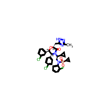 Cc1n[nH]c(C[C@H]2O[C@H](c3cccc(Cl)c3)[C@@H](c3ccc(Cl)cc3)N([C@H](CN(c3ccccc3F)S(=O)(=O)C3CC3)C3CC3)C2=O)n1